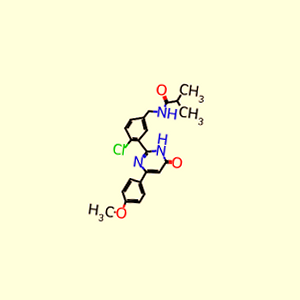 COc1ccc(-c2cc(=O)[nH]c(-c3cc(CNC(=O)C(C)C)ccc3Cl)n2)cc1